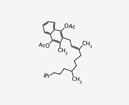 CC(=O)Oc1c(C)c(C/C=C(\C)CCCC(C)CCCC(C)C)c(OC(C)=O)c2ccccc12